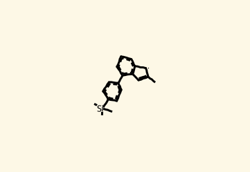 CC1=Cc2c(cccc2-c2ccc([Si](C)(C)C)cc2)[CH]1